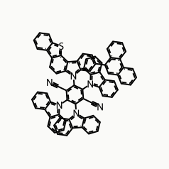 N#Cc1c(-n2c3ccccc3c3ccccc32)c(-n2c3ccccc3c3ccccc32)c(C#N)c(-n2c3cc(-c4cc5ccccc5c5ccccc45)ccc3c3c4sc5ccccc5c4ccc32)c1-n1c2ccccc2c2ccccc21